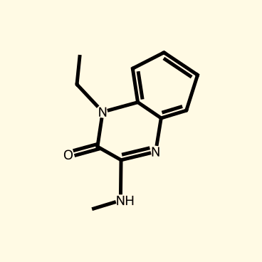 CCn1c(=O)c(NC)nc2ccccc21